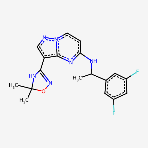 CC(Nc1ccn2ncc(C3=NOC(C)(C)N3)c2n1)c1cc(F)cc(F)c1